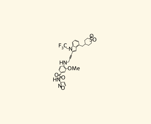 COc1cc(S(=O)(=O)Nc2ccon2)ccc1NCC#Cc1cc2c(CC3CCS(=O)(=O)CC3)cccc2n1CC(F)(F)F